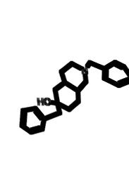 OC1(Cc2ccccc2)CCC2CN(Cc3ccccc3)CCC2C1